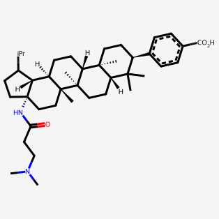 CC(C)C1CC[C@]2(NC(=O)CCN(C)C)CC[C@]3(C)[C@H](CC[C@@H]4[C@@]5(C)CC[C@@H](c6ccc(C(=O)O)cc6)C(C)(C)[C@@H]5CC[C@]43C)[C@@H]12